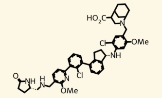 COc1cc(N[C@H]2CCc3c(-c4cccc(-c5ccc(CNC[C@@H]6CCC(=O)N6)c(OC)n5)c4Cl)cccc32)c(Cl)cc1CN1CC(C(=O)O)C2CCCC1C2